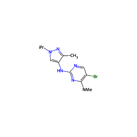 CNc1nc(Nc2cn(C(C)C)nc2C)ncc1Br